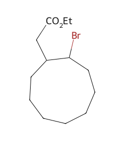 CCOC(=O)CC1CCCCCCCC1Br